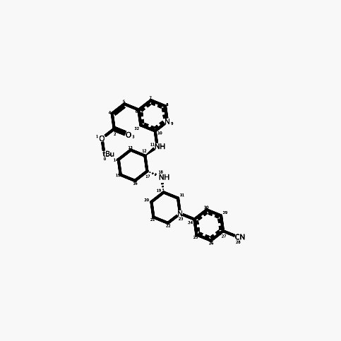 CC(C)(C)OC(=O)/C=C\c1ccnc(N[C@@H]2CCCC[C@H]2N[C@H]2CCCN(c3ccc(C#N)cc3)C2)c1